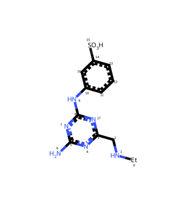 CCNCc1nc(N)nc(Nc2cccc(S(=O)(=O)O)c2)n1